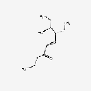 CCOC(=O)/C=C/[C@@H](CC)[C@@H](O)CC